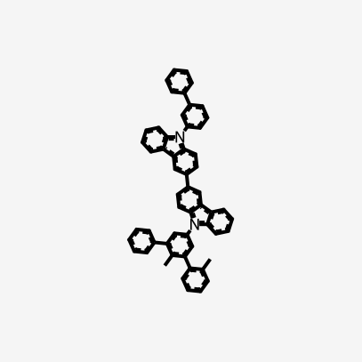 Cc1ccccc1-c1cc(-n2c3ccccc3c3cc(-c4ccc5c(c4)c4ccccc4n5-c4cccc(-c5ccccc5)c4)ccc32)cc(-c2ccccc2)c1C